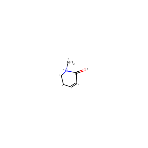 O=C1C=CCCN1[AsH2]